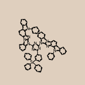 c1ccc(-n2c3ccccc3c3ccc4c(nc5n(-c6nc(-c7cccc([Si](c8ccccc8)(c8ccccc8)c8ccccc8)c7)nc(-n7c8ccccc8n8c9ccc%10c%11ccccc%11n(-c%11ccccc%11)c%10c9nc78)n6)c6ccccc6n45)c32)cc1